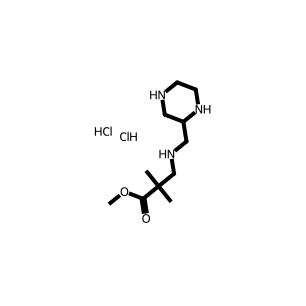 COC(=O)C(C)(C)CNCC1CNCCN1.Cl.Cl